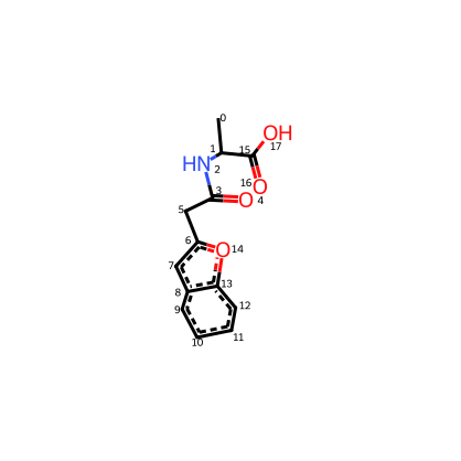 CC(NC(=O)Cc1cc2ccccc2o1)C(=O)O